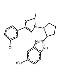 CC1SC(c2cccc(Cl)c2)=[C]N1N1CCCC1c1nc2cc(C(C)(C)C)ccc2[nH]1